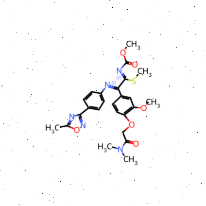 COC(=O)/N=C(SC)/C(=N/c1ccc(-c2noc(C)n2)cc1)c1ccc(OCC(=O)N(C)C)c(OC)c1